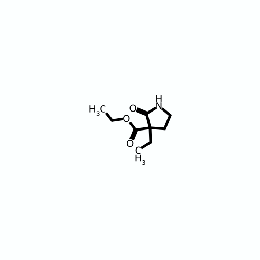 CCOC(=O)C1(CC)CCNC1=O